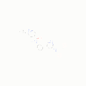 Cc1ccc(NC(=O)c2ccnc(C(C)(C)C#N)c2)cc1-c1cnc2c(c1)N1CCOCC1C1(COC1)C2